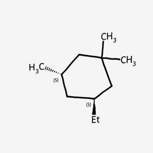 CC[C@H]1C[C@H](C)CC(C)(C)C1